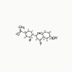 O=C(O)c1ccc(-c2cc(F)c3cc(O)ccc3n2)c(F)c1